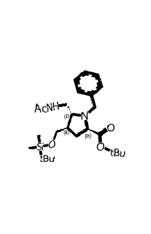 CC(=O)NC[C@H]1[C@H](CO[Si](C)(C)C(C)(C)C)C[C@H](C(=O)OC(C)(C)C)N1Cc1ccccc1